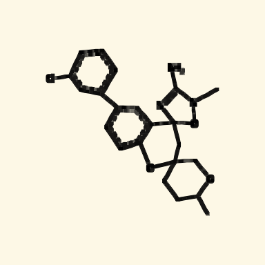 CC1CCC2(CO1)CC1(N=C(N)N(C)O1)c1cc(-c3cccc(Cl)c3)ccc1O2